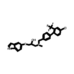 CN(Cc1ccc(-c2ccc(Cl)cc2C(F)(F)F)cc1)CC(O)COc1ccc2[nH]ccc2c1